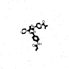 C=CC(=O)Nc1ccc(-c2nc(N3CCOCC3)c3cnn(C4CCN(C(=O)C(C)C)CC4)c3n2)cc1